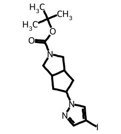 CC(C)(C)OC(=O)N1CC2CC(n3cc(I)cn3)CC2C1